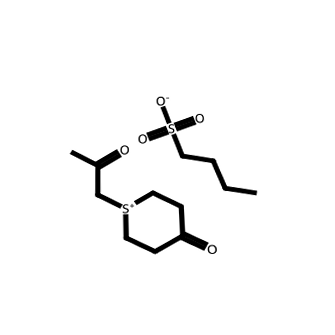 CC(=O)C[S+]1CCC(=O)CC1.CCCCS(=O)(=O)[O-]